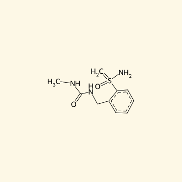 C=S(N)(=O)c1ccccc1CNC(=O)NC